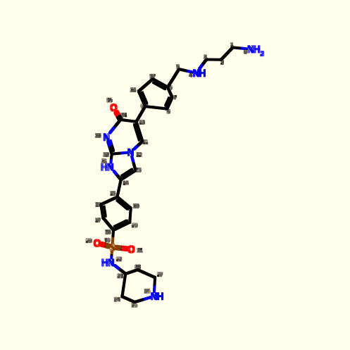 NCCCNCc1ccc(-c2cn3cc(-c4ccc(S(=O)(=O)NC5CCNCC5)cc4)[nH]c3nc2=O)cc1